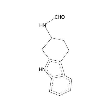 O=CNC1CCc2c([nH]c3ccccc23)C1